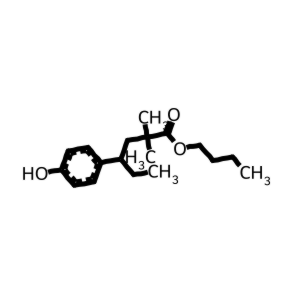 CCCCOC(=O)C(C)(C)CC(CC)c1ccc(O)cc1